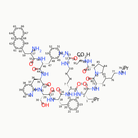 CC(C)C[C@H](NC(=O)[C@@H](CCCCNC(N)=O)NC(=O)[C@H](Cc1ccccc1)NC(=O)[C@H](CO)NC(=O)[C@@H](Cc1cccnc1)NC(=O)[C@@H](Cc1ccccc1)NC(=O)[C@H](N)Cc1ccc2ccccc2c1)C(=O)N[C@@H](CCCCNC(C)C)C(=O)N1CCC[C@H]1C(=O)N[C@H](C)C(=O)O